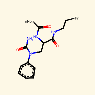 CCCCCCCCCC(=O)NC(CN(C(N)=O)c1ccccc1)C(=O)NCCC(C)C